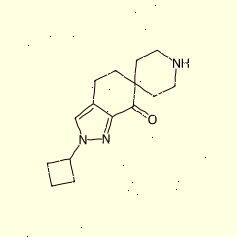 O=C1c2nn(C3CCC3)cc2CCC12CCNCC2